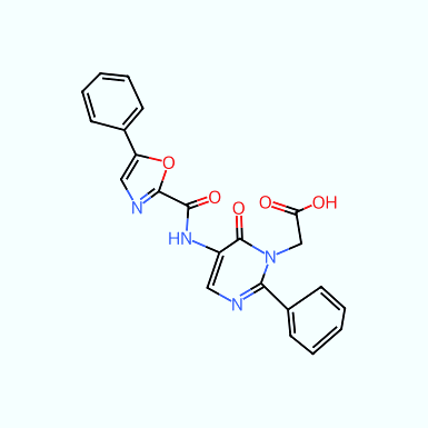 O=C(O)Cn1c(-c2ccccc2)ncc(NC(=O)c2ncc(-c3ccccc3)o2)c1=O